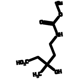 CC(O)(CCNC(=O)OC(C)(C)C)CC(=O)O